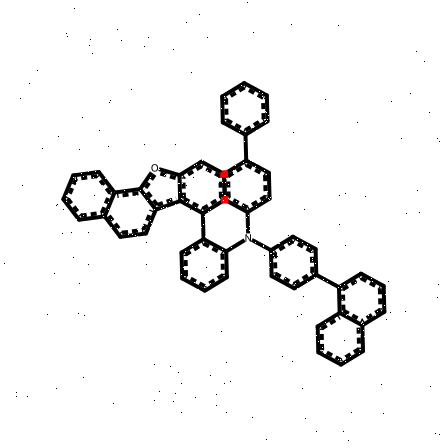 c1ccc(-c2ccc(N(c3ccc(-c4cccc5ccccc45)cc3)c3ccccc3-c3cccc4oc5c6ccccc6ccc5c34)cc2)cc1